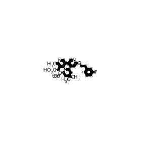 Cc1ncc(-c2ccc(OCCc3cccc(F)c3)nc2)c(N2CCC(C)(C)CC2)c1[C@H](OC(C)(C)C)C(=O)O